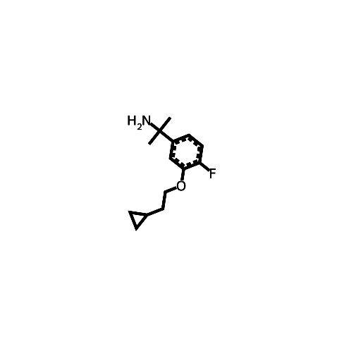 CC(C)(N)c1ccc(F)c(OCCC2CC2)c1